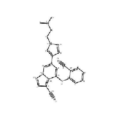 CN(C)CCn1cc(-c2cc(Sc3ccccc3C#N)c3c(C#N)cnn3c2)cn1